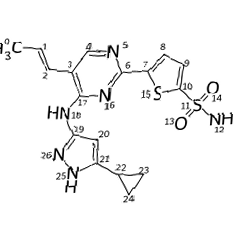 CC=Cc1cnc(-c2ccc(S(N)(=O)=O)s2)nc1Nc1cc(C2CC2)[nH]n1